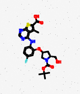 Cc1c(C(=O)O)sc2ncnc(Nc3ccc(F)cc3O[C@H]3C[C@@H](CO)N(C(=O)OC(C)(C)C)C3)c12